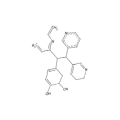 C=C/N=C(\C=C)C(C1=CC=C(O)C(C#N)C1)C(C1=CCCN=C1)c1cccnc1